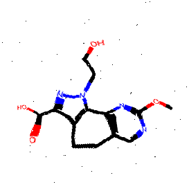 COc1ncc2c(n1)-c1c(c(C(=O)O)nn1CCO)CC2